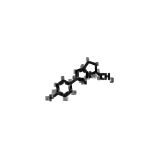 C[C@@H]1CCc2cc(-c3ccc(F)cc3)nn21